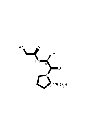 CC(=O)CC(=S)N[C@H](C(=O)N1CCC[C@H]1C(=O)O)C(C)C